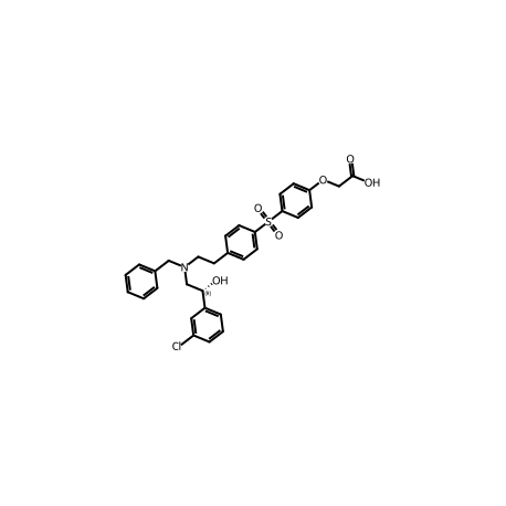 O=C(O)COc1ccc(S(=O)(=O)c2ccc(CCN(Cc3ccccc3)C[C@H](O)c3cccc(Cl)c3)cc2)cc1